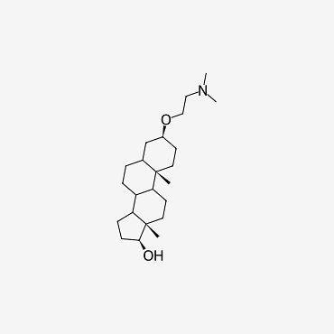 CN(C)CCO[C@H]1CC[C@@]2(C)C(CCC3C2CC[C@@]2(C)C3CC[C@@H]2O)C1